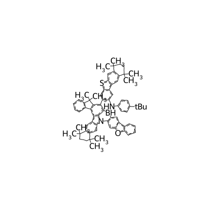 CC(C)(C)c1ccc(Nc2cc3c(cc2-c2c4c(c5c6cc7c(cc6n6c5c2Bc2cc5c(cc2-6)oc2ccccc25)C(C)(C)CCC7(C)C)-c2ccccc2C4(C)C)sc2cc4c(cc23)C(C)(C)CCC4(C)C)cc1